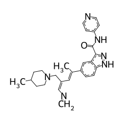 C=N/C=C(\C=C(/C)c1ccc2[nH]nc(C(=O)Nc3ccncc3)c2c1)CN1CCC(C)CC1